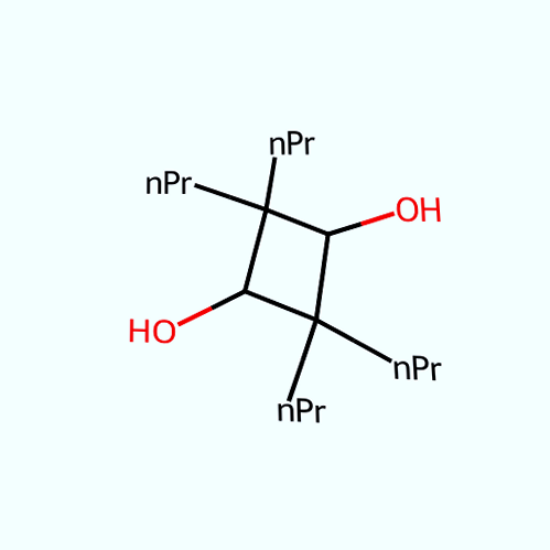 CCCC1(CCC)C(O)C(CCC)(CCC)C1O